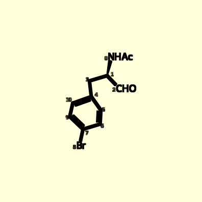 CC(=O)N[C@@H](C=O)Cc1ccc(Br)cc1